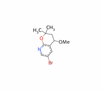 COC1CC(C)(C)Oc2ncc(Br)cc21